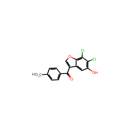 O=C(O)c1ccc(C(=O)c2coc3c(Cl)c(Cl)c(O)cc23)cc1